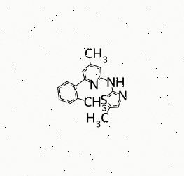 Cc1cc(Nc2ncc(C)s2)nc(-c2ccccc2C)c1